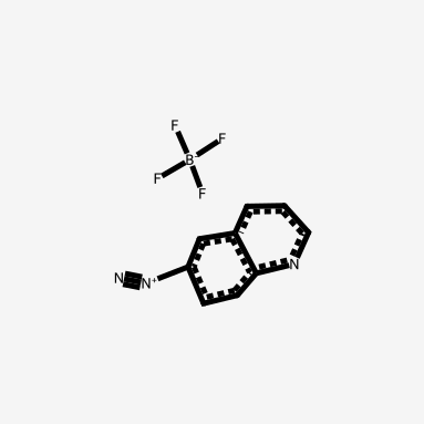 F[B-](F)(F)F.N#[N+]c1ccc2ncccc2c1